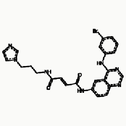 O=C(C=CC(=O)Nc1ccc2ncnc(Nc3cccc(Br)c3)c2c1)NCCCn1ccnc1